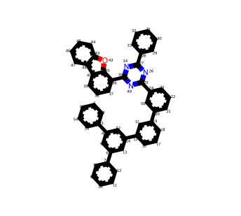 c1ccc(-c2cc(-c3ccccc3)cc(-c3cccc(-c4cccc(-c5nc(-c6ccccc6)nc(-c6cccc7c6oc6ccccc67)n5)c4)c3)c2)cc1